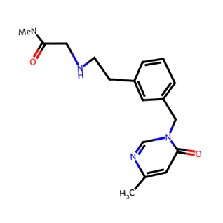 CNC(=O)CNCCc1cccc(Cn2cnc(C)cc2=O)c1